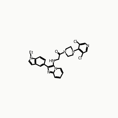 CCn1ccc2cc(-c3nc4ccccn4c3NCC(=O)N3CCN(c4c(Cl)cncc4Cl)CC3)ccc21